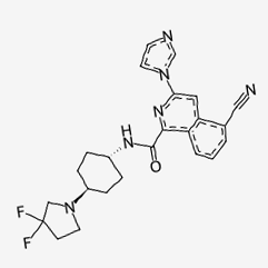 N#Cc1cccc2c(C(=O)N[C@H]3CC[C@H](N4CCC(F)(F)C4)CC3)nc(-n3ccnc3)cc12